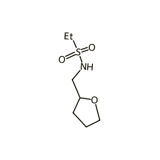 CCS(=O)(=O)NCC1CCCO1